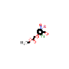 CCOC(=O)COc1ccc([N+](=O)[O-])c(C=O)c1Cl